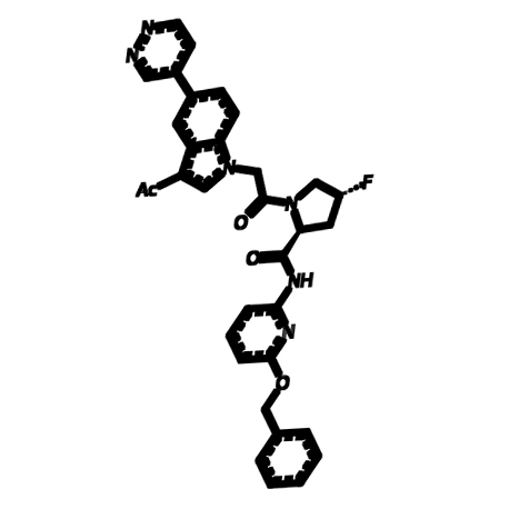 CC(=O)c1cn(CC(=O)N2C[C@H](F)C[C@H]2C(=O)Nc2cccc(OCc3ccccc3)n2)c2ccc(-c3ccnnc3)cc12